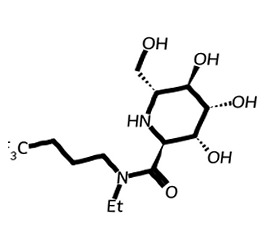 CCN(CCCC(F)(F)F)C(=O)[C@H]1N[C@H](CO)[C@@H](O)[C@H](O)[C@@H]1O